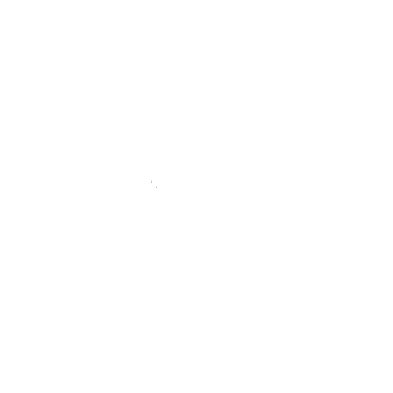 CC(C)(C)[N+](O)(Cc1ccccc1)C(C)(C)C